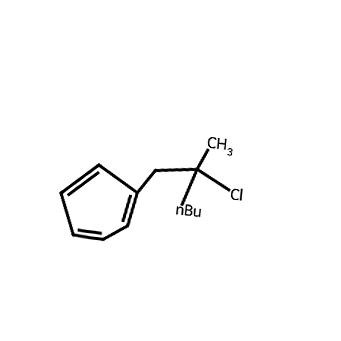 CCCCC(C)(Cl)Cc1ccccc1